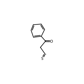 O=C(C[C]=S)c1ccccc1